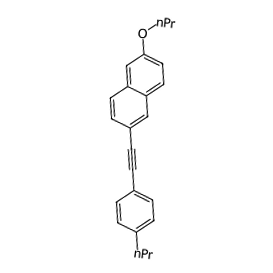 CCCOc1ccc2cc(C#Cc3ccc(CCC)cc3)ccc2c1